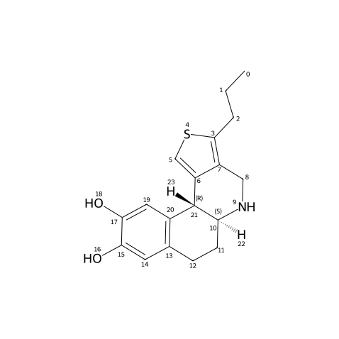 CCCc1scc2c1CN[C@H]1CCc3cc(O)c(O)cc3[C@H]21